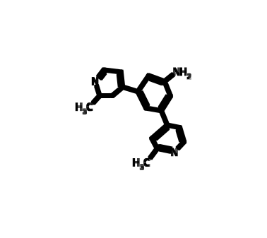 Cc1cc(-c2cc(N)cc(C3=CC=NC(C)C3)c2)ccn1